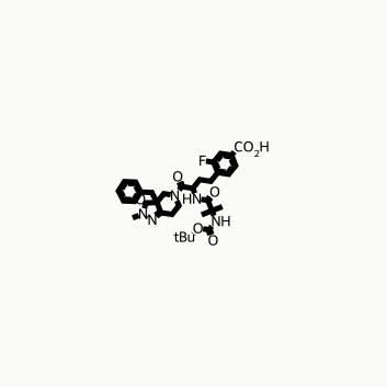 CN1N=C2CCN(C(=O)C(CCc3ccc(C(=O)O)cc3F)NC(=O)C(C)(C)NC(=O)OC(C)(C)C)CC2(Cc2ccccc2)C1=O